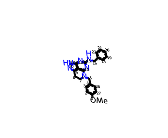 COc1ccc(CN2CCc3n[nH]c4nc(NCc5ccccc5)nc2c34)cc1